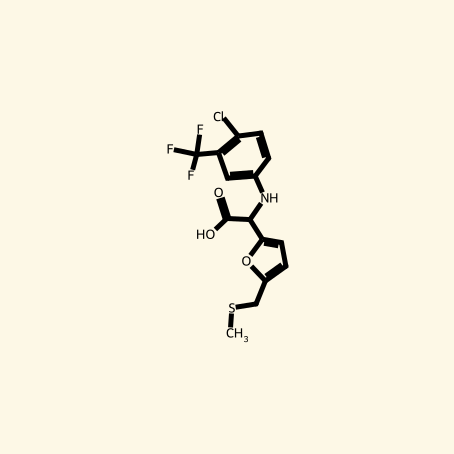 CSCc1ccc(C(Nc2ccc(Cl)c(C(F)(F)F)c2)C(=O)O)o1